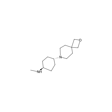 CN[C@H]1CC[C@H](N2CCC3(CC2)COC3)CC1